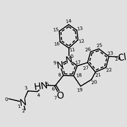 CN(C)CCNC(=O)c1nn(-c2ccccc2)c2c1CCc1cc(Cl)ccc1-2